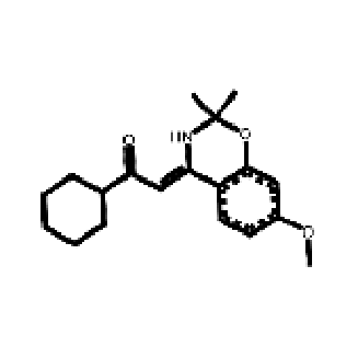 COc1ccc2c(c1)OC(C)(C)N/C2=C\C(=O)C1CCCCC1